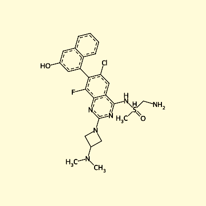 CN(C)C1CN(c2nc(N[SH](C)(=O)CN)c3cc(Cl)c(-c4cc(O)cc5ccccc45)c(F)c3n2)C1